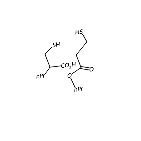 CCCC(CS)C(=O)O.CCCOC(=O)CCS